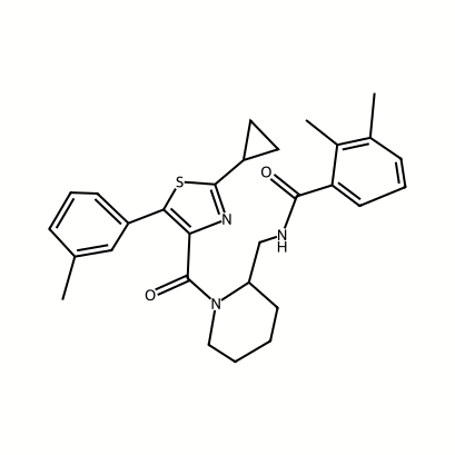 Cc1cccc(-c2sc(C3CC3)nc2C(=O)N2CCCCC2CNC(=O)c2cccc(C)c2C)c1